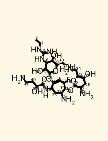 CCNC(=N)NC1C(O)[C@@H](CO)OC(OC2=CC(F)[C@H](O[C@H]3OC(CN)[C@@H](O)CC3N)C(N)C[C@H]2NC(=O)[C@@H](O)CCN)[C@@H]1O